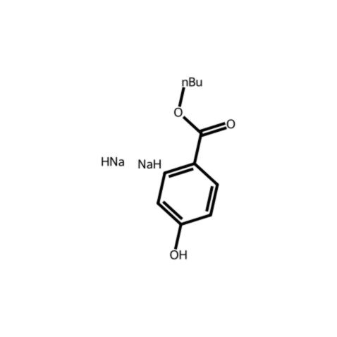 CCCCOC(=O)c1ccc(O)cc1.[NaH].[NaH]